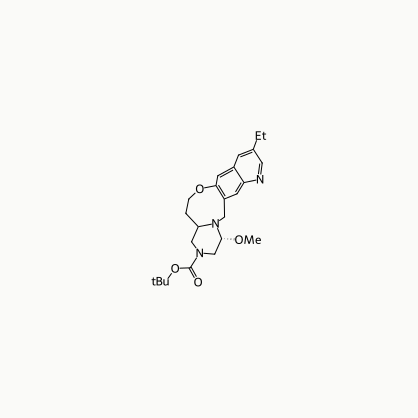 CCc1cnc2cc3c(cc2c1)OCCC1CN(C(=O)OC(C)(C)C)C[C@@H](OC)N1C3